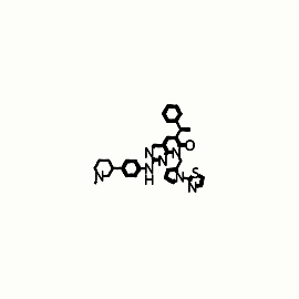 C=C(c1ccccc1)c1cc2cnc(Nc3ccc(C4CCCN(C)C4)cc3)nc2n(Cc2cccn2-c2nccs2)c1=O